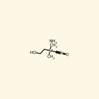 C[N+](C)(C#P=O)CCO.N